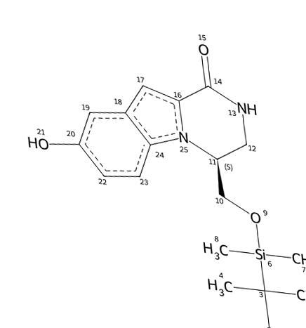 CC(C)C(C)(C)[Si](C)(C)OC[C@@H]1CNC(=O)c2cc3cc(O)ccc3n21